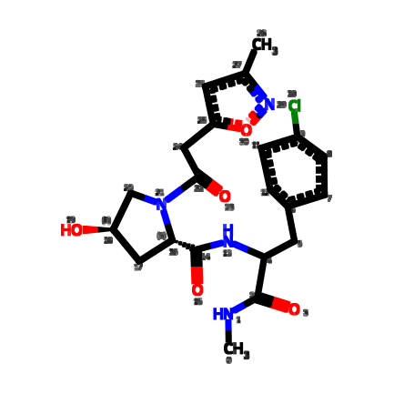 CNC(=O)C(Cc1ccc(Cl)cc1)NC(=O)[C@@H]1C[C@@H](O)CN1C(=O)Cc1cc(C)no1